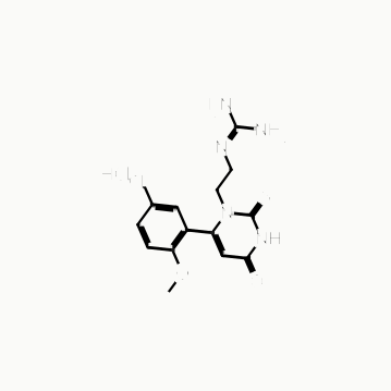 COc1ccc(Cl)cc1-c1cc(=O)[nH]c(=S)n1CCN=C(N)N.Cl